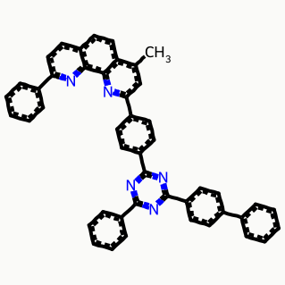 Cc1cc(-c2ccc(-c3nc(-c4ccccc4)nc(-c4ccc(-c5ccccc5)cc4)n3)cc2)nc2c1ccc1ccc(-c3ccccc3)nc12